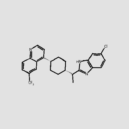 CC(c1nc2ccc(Cl)cc2[nH]1)[C@H]1CC[C@@H](c2ccnc3ccc(C(F)(F)F)cc32)CC1